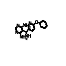 N=C(c1ccc(Oc2ccccc2)nc1)c1c(N)ncnc1N